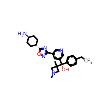 CN1CC(C)([C@](O)(c2ccc(CC(F)(F)F)cc2)c2cncc(-c3noc([C@H]4CC[C@H](N)CC4)n3)c2)C1